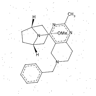 CO[C@H]1C[C@H]2CC[C@@H](C1)N2c1nc(C)nc2c1CN(Cc1ccccc1)CC2